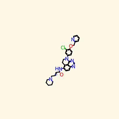 O=C(/C=C/CN1CCCCC1)Nc1ccc2ncnc3c2c1CCN3c1ccc(OCc2ccccn2)c(Cl)c1